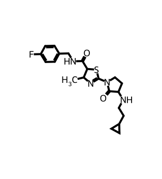 CC1N=C(N2CCC(NCCC3CC3)C2=O)SC1C(=O)NCc1ccc(F)cc1